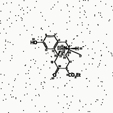 CCOC(=O)C1C[C@@H]2[C@H]3Cc4ccc(O)cc4[C@@]2(CCN3C)CC1=O